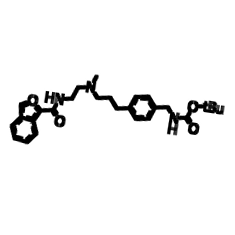 CN(CCCc1ccc(CNC(=O)OC(C)(C)C)cc1)CCNC(=O)c1occ2ccccc12